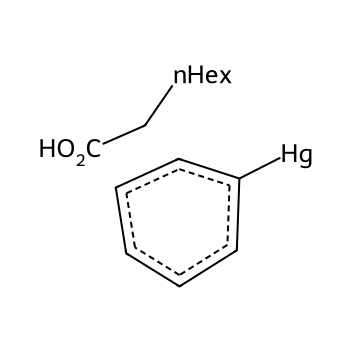 CCCCCCCC(=O)O.[Hg][c]1ccccc1